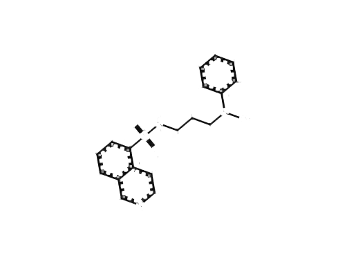 CN(CCCNS(=O)(=O)c1cccc2cnccc12)c1ccccc1